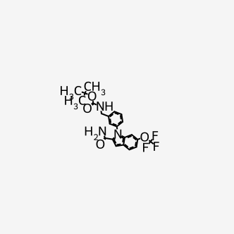 CC(C)(C)OC(=O)NCc1cccc(-n2c(C(N)=O)cc3ccc(OC(F)(F)F)cc32)c1